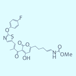 COC(=O)N/C=C/CCCc1cc(O)c(C(=O)C(C)=Cc2cnc(Oc3ccc(F)cc3)s2)c(=O)o1